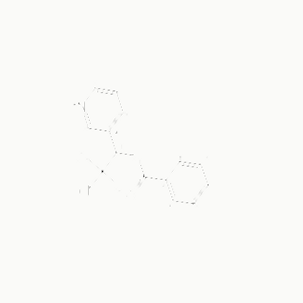 O=C(OC(c1cccnc1)C(Cl)(Cl)Cl)c1ccccc1